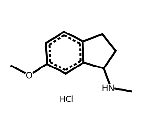 CNC1CCc2ccc(OC)cc21.Cl